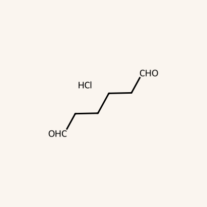 Cl.O=CCCCCC=O